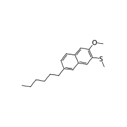 CCCCCCc1ccc2cc(OC)c(SC)cc2c1